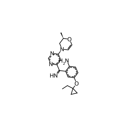 CCC1(Oc2ccc(N)c(C(=N)c3cc(N4C=CO[C@H](C)C4)ncn3)c2)CC1